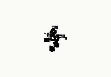 Cc1cc(-n2ccc(-n3cccn3)n2)c(CCO)c(Nc2ccc(C#N)cc2C(F)(F)F)n1